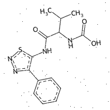 CC(C)C(NC(=O)O)C(=O)Nc1snnc1-c1ccccc1